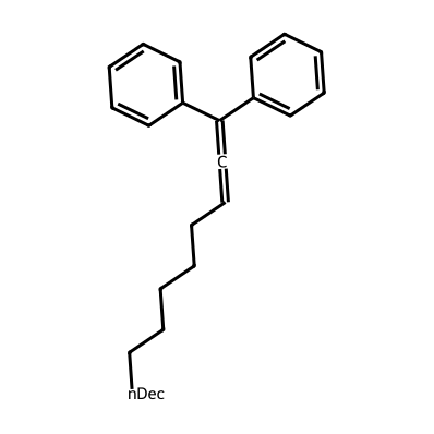 CCCCCCCCCCCCCCCC=C=C(c1ccccc1)c1ccccc1